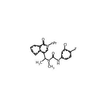 CCCn1cc(C(C)N(C)C(=O)Nc2ccc(F)c(Cl)c2)c2ccccc2c1=O